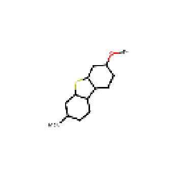 CCOC1CCC2C(C1)SC1CC(OC)CCC12